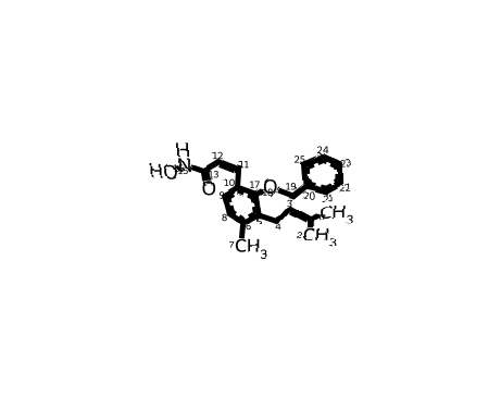 CC(C)=CCc1c(C)ccc(/C=C\C(=O)NO)c1OCc1ccccc1